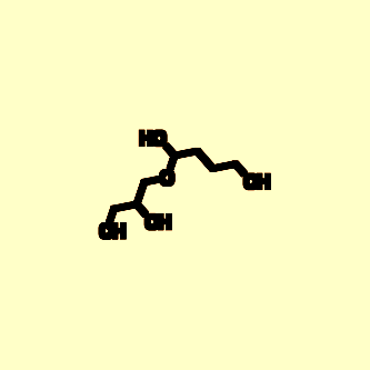 OCCCC(O)OCC(O)CO